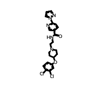 O=C(NCCN1CCC(Oc2ccc(Cl)c(Cl)c2)CC1)c1ccc(-n2cccn2)nc1